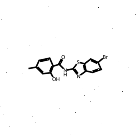 Cc1ccc(C(=O)Nc2nc3ccc(Br)cc3s2)c(O)c1